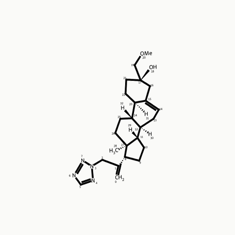 C=C(Cn1ncnn1)[C@H]1CC[C@H]2[C@@H]3CC=C4C[C@@](O)(COC)CC[C@@H]4[C@H]3CC[C@]12C